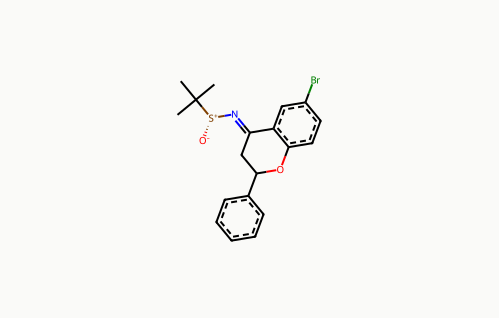 CC(C)(C)[S@@+]([O-])/N=C1\CC(c2ccccc2)Oc2ccc(Br)cc21